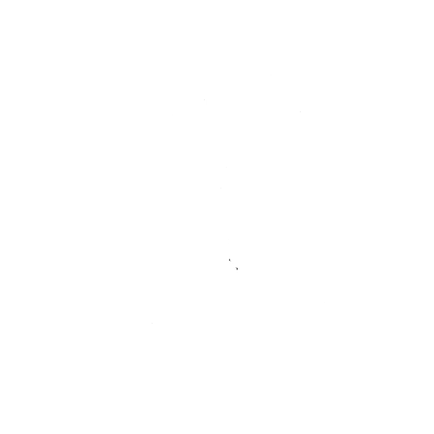 c1ccc(-c2ccc(N(c3ccc(-c4ccccc4)cc3)c3ccc(-c4cc(-c5ccccc5)c5sc6ccc(-c7ccccc7)cc6c5c4)cc3)cc2)cc1